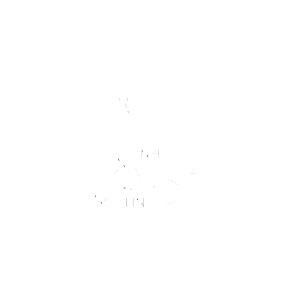 C[C@@H]1CC(=O)CC[C@H]1Nc1ncc(C#N)c2[nH]c3ccc(F)cc3c12